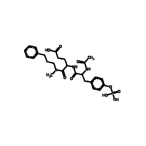 CC(=O)NC(Cc1ccc(OP(=O)(O)O)cc1)C(=O)NC(CCC(=O)O)C(=O)N(C)CCCc1ccccc1